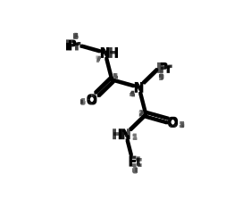 CCNC(=O)N(C(=O)NC(C)C)C(C)C